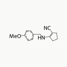 COc1ccc(CNC2=C(C#N)CCC2)cc1